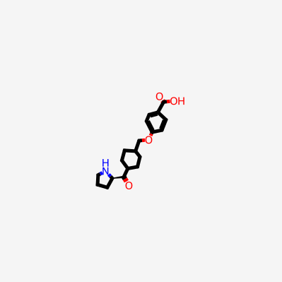 O=C(O)c1ccc(OCC2CCC(C(=O)[C@H]3CCCN3)CC2)cc1